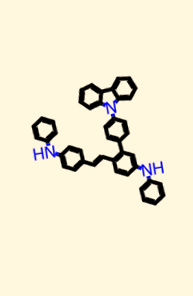 C(=Cc1ccc(Nc2ccccc2)cc1-c1ccc(-n2c3ccccc3c3ccccc32)cc1)c1ccc(Nc2ccccc2)cc1